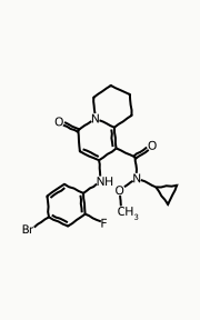 CON(C(=O)c1c(Nc2ccc(Br)cc2F)cc(=O)n2c1CCCC2)C1CC1